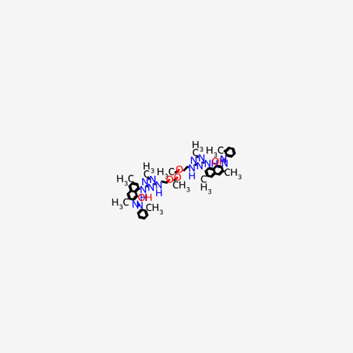 Cc1cc(Nc2nc(C)nc(NCCOC(C)OC(C)OCCNc3nc(C)nc(Nc4cc(C)cc5cc(C)c(N=Nc6ccccc6C)c(O)c45)n3)n2)c2c(O)c(N=Nc3ccccc3C)c(C)cc2c1